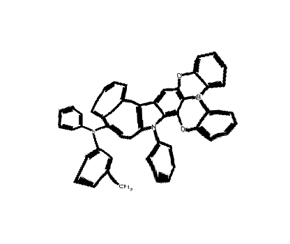 Cc1cccc(N(c2ccccc2)c2cc3c(c4ccccc24)c2cc4c5c(c2n3-c2ccccc2)Oc2ccccc2B5c2ccccc2O4)c1